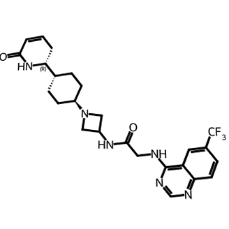 O=C1C=CC[C@H]([C@H]2CC[C@H](N3CC(NC(=O)CNc4ncnc5ccc(C(F)(F)F)cc45)C3)CC2)N1